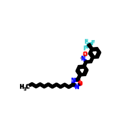 CCCCCCCCCCCc1noc(-c2ccc(C(Cc3cccc(C(F)(F)F)c3)[N][O])cc2)n1